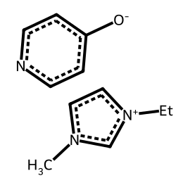 CC[n+]1ccn(C)c1.[O-]c1ccncc1